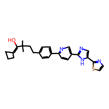 CC(C)(CCc1ccc(-c2ccc(-c3ncc(-c4nccs4)[nH]3)cn2)cc1)C(O)=C1CCC1